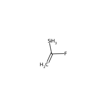 C=C(F)[SiH3]